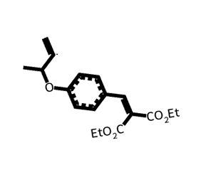 C=[C]C(C)Oc1ccc(C=C(C(=O)OCC)C(=O)OCC)cc1